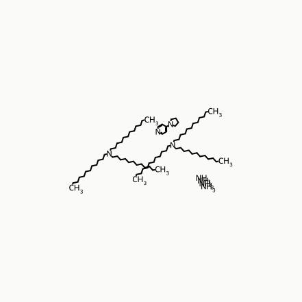 CCCCCCCCCCCCN(CCCCCCCCCCCC)CCCCCCCCCCCC.CCCCCCCCCCCCN(CCCCCCCCCCCC)CCCCCCCCCCCC.N.N.N.N.c1cc(N2CCCC2)ccn1